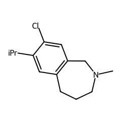 CC(C)c1cc2c(cc1Cl)CN(C)CCC2